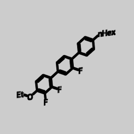 CCCCCCc1ccc(-c2ccc(-c3ccc(OCC)c(F)c3F)cc2F)cc1